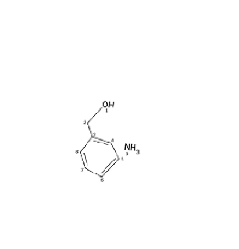 N.OCc1ccccc1